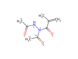 C=C(C)C(=O)N(NC(C)=O)C(C)=O